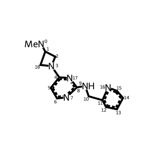 CNC1CN(c2ccnc(NCc3ccccn3)n2)C1